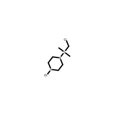 CCN1CCN(S(C)(C)CCl)CC1